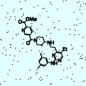 CCc1cnc(Nc2cc(C)cc(C)c2)nc1CCNC1CCN(C(=O)c2ccc(C(=O)OC)nc2)CC1